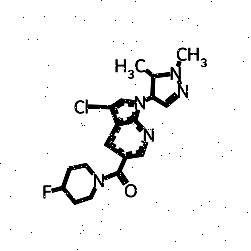 CC1C(n2cc(Cl)c3cc(C(=O)N4CCC(F)CC4)cnc32)C=NN1C